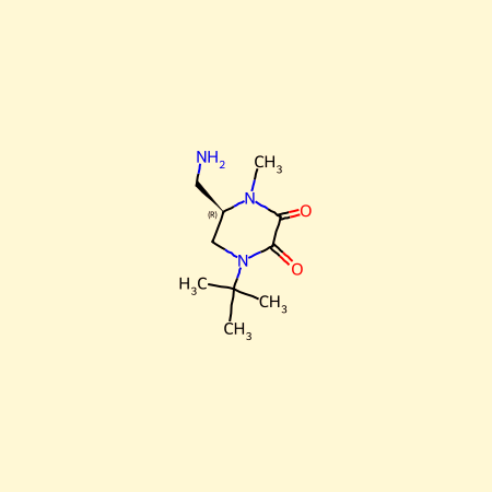 CN1C(=O)C(=O)N(C(C)(C)C)C[C@H]1CN